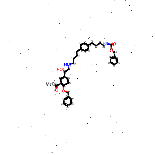 COC(=O)c1cc(C(O)CNCCCCc2ccc(CCCCNC(=O)OCc3ccccc3)cc2)ccc1OCc1ccccc1